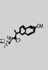 CCOC(=O)CNC(=O)C(C)c1ccc2cc(OC)ccc2c1